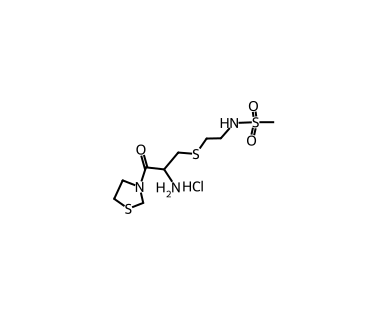 CS(=O)(=O)NCCSCC(N)C(=O)N1CCSC1.Cl